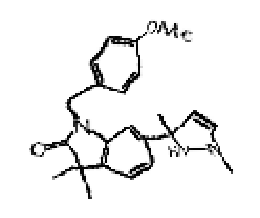 COc1ccc(CN2C(=O)C(C)(C)c3ccc(C4(C)C=CN(C)N4)cc32)cc1